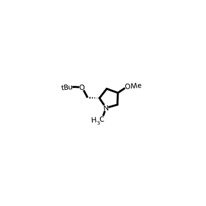 COC1C[C@@H](COC(C)(C)C)N(C)C1